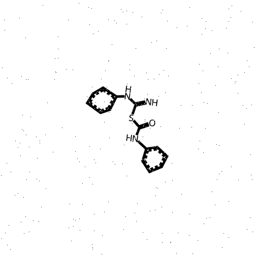 N=C(Nc1ccccc1)SC(=O)Nc1ccccc1